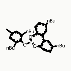 CCCCc1ccc2op(Oc3c(CCCC)cc(C)cc3CCCC)oc3ccc(CCCC)cc3c2c1